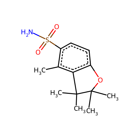 Cc1c(S(N)(=O)=O)ccc2c1C(C)(C)C(C)(C)O2